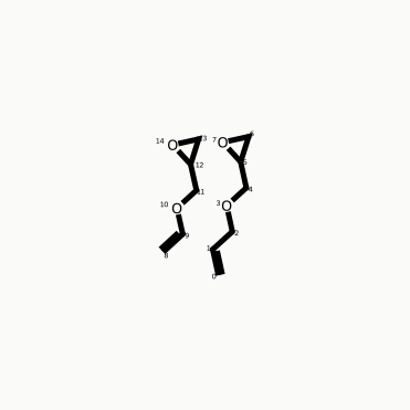 C=CCOCC1CO1.C=COCC1CO1